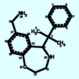 CC(C)(c1ccccc1)C1NCCOc2ccc(CN)cc21